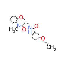 C=CCOc1cccc(C(=O)NCC2COc3ccccc3N(C)C2=O)c1